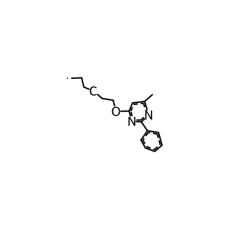 [CH2]CCCCCOc1cc(C)nc(-c2ccccc2)n1